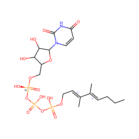 CCC/C=C(C)/C(C)=C/COP(=O)(O)OP(=O)(O)O[P@](=O)(O)OCC1OC(n2ccc(=O)[nH]c2=O)C(O)C1O